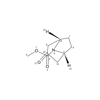 COC(=O)N1[C@@H]2CC[C@H]1CC(=O)C2